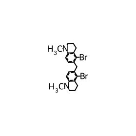 CN1CCCc2c1ccc(Cc1ccc3c(c1Br)CCCN3C)c2Br